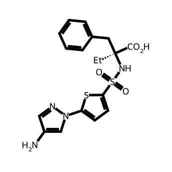 CC[C@@](Cc1ccccc1)(NS(=O)(=O)c1ccc(-n2cc(N)cn2)s1)C(=O)O